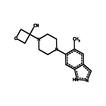 Cc1cc2cn[nH]c2cc1N1CCN(C2(C#N)COC2)CC1